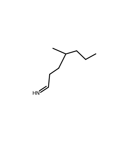 CCCC(C)CCC=N